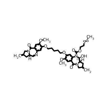 C=C1C[C@H]2C=Nc3cc(OCCCCCOc4cc5c(cc4OC)C(=O)N4CC(=C)C[C@H]4[C@H](O)N5C(=O)OCCSSC)c(OC)cc3C(=O)N2C1